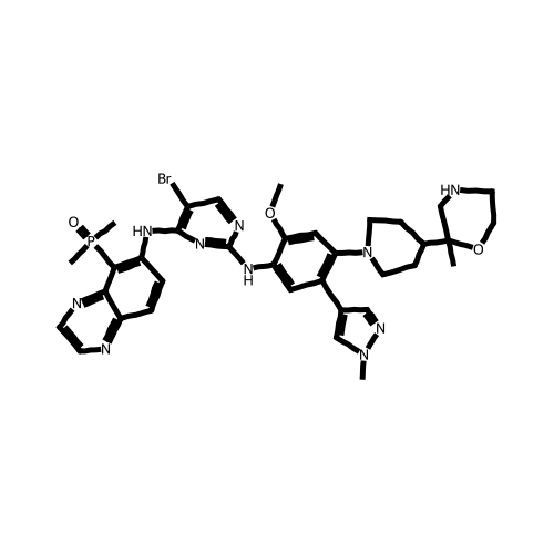 COc1cc(N2CCC(C3(C)CNCCO3)CC2)c(-c2cnn(C)c2)cc1Nc1ncc(Br)c(Nc2ccc3nccnc3c2P(C)(C)=O)n1